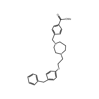 COC(=O)c1ccc(CN2CCCN(CCOc3ccc(Cc4ccccc4)cc3)CC2)cc1